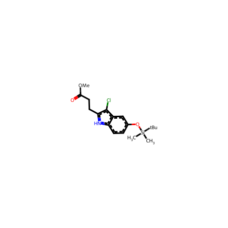 COC(=O)CCc1[nH]c2ccc(O[Si](C)(C)C(C)(C)C)cc2c1Cl